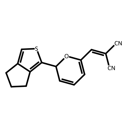 N#CC(C#N)=CC1=CC=CC(c2scc3c2CCC3)O1